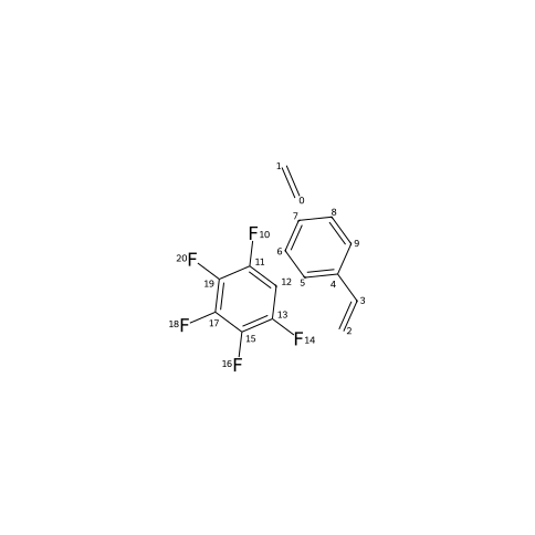 C=C.C=Cc1ccccc1.Fc1cc(F)c(F)c(F)c1F